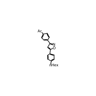 CCCCCCc1ccc(-c2cc(-c3ccc(C(C)=O)cc3)no2)cc1